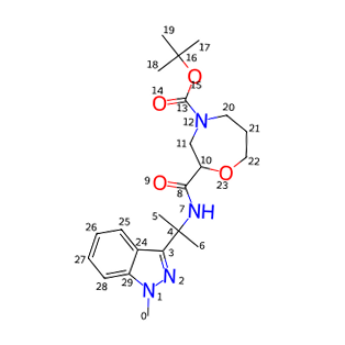 Cn1nc(C(C)(C)NC(=O)C2CN(C(=O)OC(C)(C)C)CCCO2)c2ccccc21